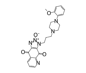 COc1ccccc1N1CCN(CCCn2c3c(n[n+]2[O-])C(=O)c2cccnc2C3=O)CC1